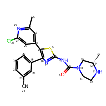 Cc1cc(-c2sc(NC(=O)N3CCN[C@@H](C)C3)nc2-c2cccc(C#N)c2)cc(Cl)n1